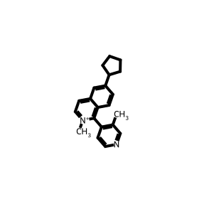 Cc1cnccc1-c1c2ccc(C3CCCC3)cc2cc[n+]1C